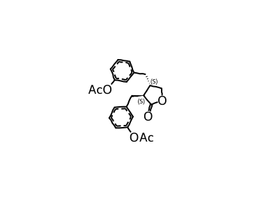 CC(=O)Oc1cccc(C[C@@H]2COC(=O)[C@H]2Cc2cccc(OC(C)=O)c2)c1